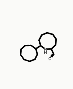 O=CC1CCCCCCC(C2CCCCCCCC2)N1